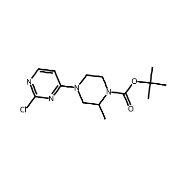 CC1CN(c2ccnc(Cl)n2)CCN1C(=O)OC(C)(C)C